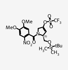 COc1cc(C(=O)N2CC(OS(=O)(=O)C(F)(F)F)=C[C@H]2CO[Si](C)(C)C(C)(C)C)c([N+](=O)[O-])cc1OC